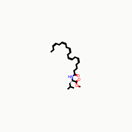 CC/C=C\C/C=C\C/C=C\C/C=C\C/C=C\CCCC(=O)N[C@@H](CC(C)C)C(=O)OC